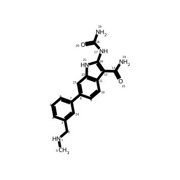 CNCc1cccc(-c2ccc3c(C(N)=O)c(NC(N)=O)[nH]c3c2)c1